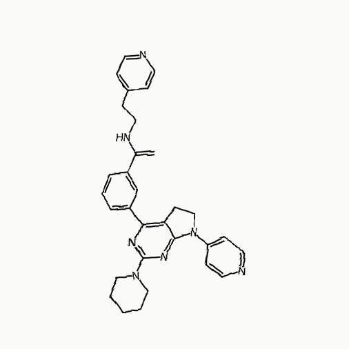 C=C(NCCc1ccncc1)c1cccc(-c2nc(N3CCCCC3)nc3c2CCN3c2ccncc2)c1